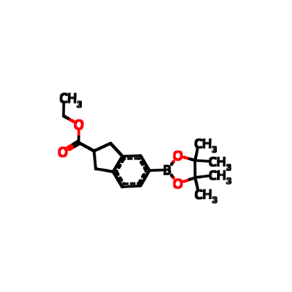 CCOC(=O)C1Cc2ccc(B3OC(C)(C)C(C)(C)O3)cc2C1